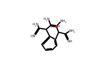 N=C(N)C(C(=N)N)c1ccccc1C(C(=N)N)C(=N)N